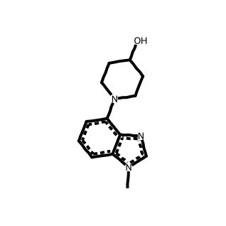 Cn1cnc2c(N3CCC(O)CC3)cccc21